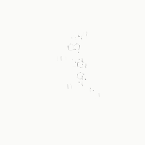 CNC(=O)c1ccnc2c(C(C)CNc3cc(-c4ccc(N(C)C5CCN(CC(F)(F)F)CC5)nc4)ncn3)cccc12